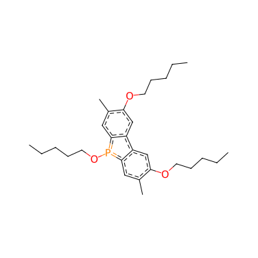 CCCCCOc1cc2c3cc(OCCCCC)c(C)cc3p(OCCCCC)c2cc1C